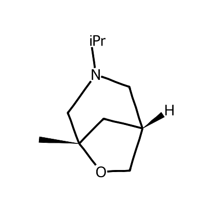 CC(C)N1C[C@@H]2CO[C@@](C)(C2)C1